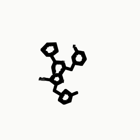 CC(=O)Oc1c(Cc2cccc(C)c2)nc2c(Cc3cccc(F)c3)nc(-c3ccccc3)cn12